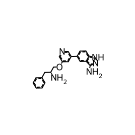 Nc1n[nH]c2ccc(-c3cncc(OC[C@@H](N)Cc4ccccc4)c3)cc12